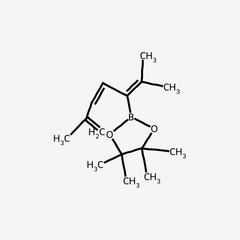 C=C(C)/C=C\C(B1OC(C)(C)C(C)(C)O1)=C(C)C